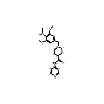 COc1cc(CN2CCC(C(=O)Nc3ccncc3)CC2)cc(OC)c1OC